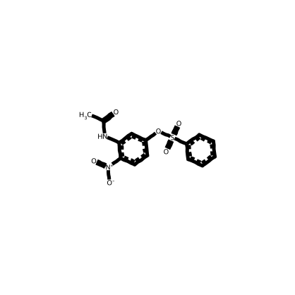 CC(=O)Nc1cc(OS(=O)(=O)c2ccccc2)ccc1[N+](=O)[O-]